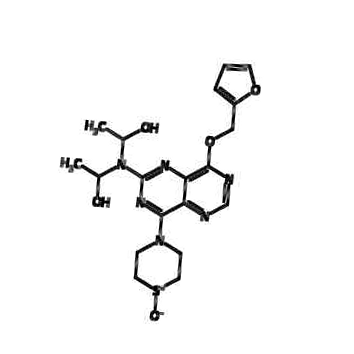 CC(O)N(c1nc(N2CC[S+]([O-])CC2)c2ncnc(OCc3ccco3)c2n1)C(C)O